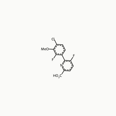 COc1c(Cl)ccc(-c2nc(C(=O)O)ccc2F)c1F